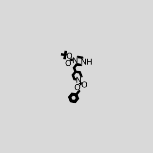 CC(C)(C)OC(=O)N1CCNCC1CC1CCN(C(=O)OCc2ccccc2)CC1